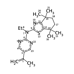 C=C(C)c1cnc(N(CC)c2nc3c(s2)C(C)(C)CCC3(C)C)nc1